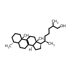 CC(CO)CCC[C@@H](C)[C@H]1CC[C@H]2C3=C(CC[C@]12C)[C@@]1(C)CCC[C@@H](C)C1CC3